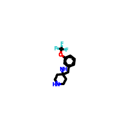 NC1(Cc2cccc(OC(F)(F)F)c2)CCNCC1